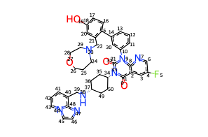 O=c1c2cc(F)cnc2n(-c2cccc(-c3ccc(O)cc3CN3CCCOCC3)c2)c(=O)n1[C@H]1CC[C@@H](NCc2cccn3ccnc23)CC1